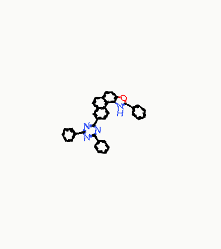 c1ccc(-c2nc(-c3ccccc3)nc(-c3ccc4c(ccc5ccc6c(c54)NC(c4ccccc4)O6)c3)n2)cc1